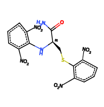 NC(=O)[C@@H](CSc1c([N+](=O)[O-])cccc1[N+](=O)[O-])Nc1c([N+](=O)[O-])cccc1[N+](=O)[O-]